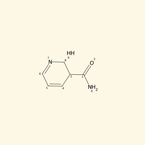 NC(=O)C1C=CC=NC1.[HH]